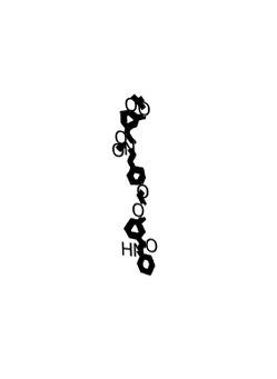 CC1(C)OCc2cc(C3CN(CCc4ccc(OCCOCc5cccc(C(=O)NC6CCCCC6)c5)cc4)C(=O)O3)ccc2O1